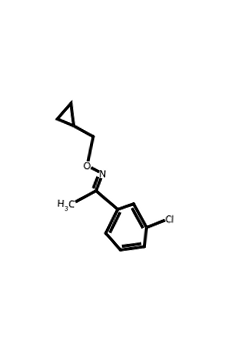 C/C(=N\OCC1CC1)c1cccc(Cl)c1